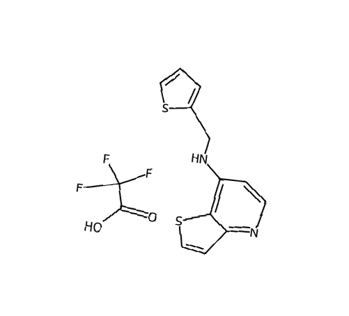 O=C(O)C(F)(F)F.c1csc(CNc2ccnc3ccsc23)c1